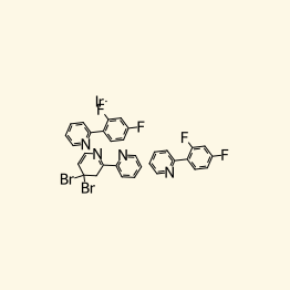 BrC1(Br)C=CN=C(c2ccccn2)C1.Fc1ccc(-c2ccccn2)c(F)c1.Fc1ccc(-c2ccccn2)c(F)c1.[Ir]